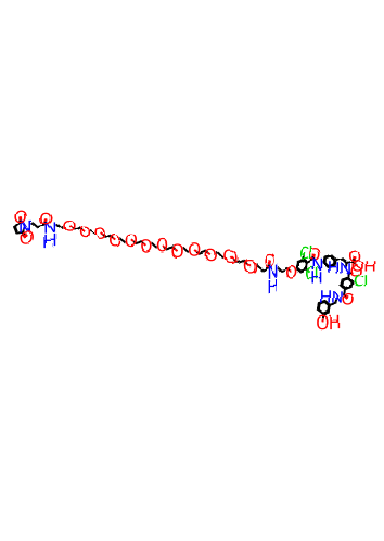 O=C(CCOCCOCCOCCOCCOCCOCCOCCOCCOCCOCCOCCOCCNC(=O)CCN1C(=O)C=CC1=O)NCCCOc1cc(Cl)c(C(=O)Nc2ccc(CC(NC(=O)c3ccc(C(=O)NCc4cccc(O)c4)cc3Cl)C(=O)O)cc2)c(Cl)c1